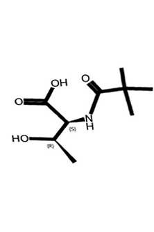 C[C@@H](O)[C@H](NC(=O)C(C)(C)C)C(=O)O